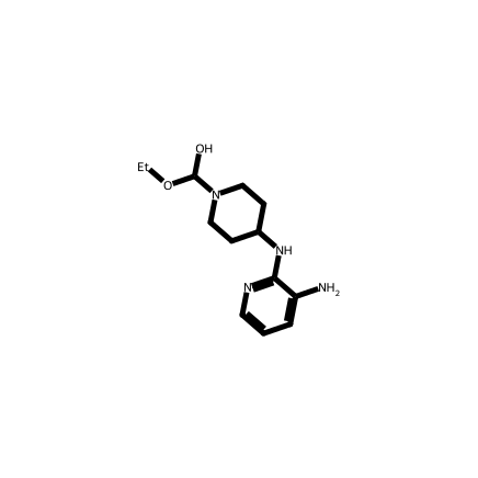 CCOC(O)N1CCC(Nc2ncccc2N)CC1